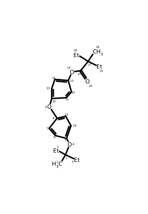 CCC(C)(CC)Oc1ccc(Oc2ccc(OC(=O)C(C)(CC)CC)cc2)cc1